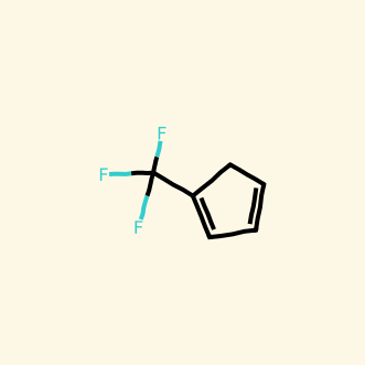 FC(F)(F)C1=CC=CC1